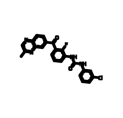 Cc1cnc2ccc(C(=O)c3cccc(NC(=O)Nc4cccc(Cl)c4)c3F)cc2n1